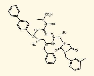 CCC(C)[C@@H](C(=O)N[C@@H](Cc1ccccc1)C[C@H](O)[C@H](Cc1ccc(-c2ccccn2)cc1)NC(=O)[C@@H](N(C)C(=O)O)C(C)(C)C)N1CC(=O)N(Cc2cccc(C)n2)C1=O